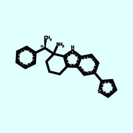 C[C@H](c1ccccc1)C1(N)CCCc2c1[nH]c1ccc(-c3cccs3)cc21